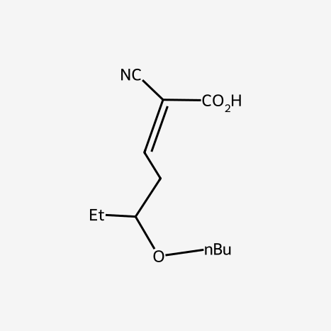 CCCCOC(CC)CC=C(C#N)C(=O)O